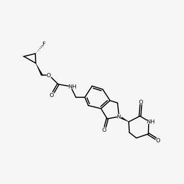 O=C1CC[C@@H](N2Cc3ccc(CNC(=O)OC[C@H]4C[C@@H]4F)cc3C2=O)C(=O)N1